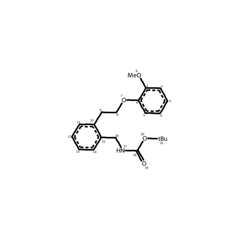 COc1ccccc1OCCc1ccccc1CNC(=O)OC(C)(C)C